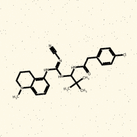 CN1CCCc2c(N/C(=N\C#N)NC(NC(=O)Cc3ccc(Cl)cc3)C(C)(C)C)cccc21